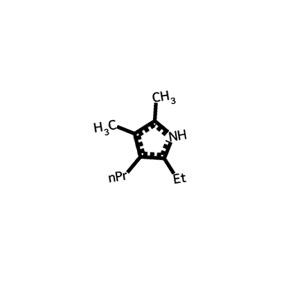 CCCc1c(CC)[nH]c(C)c1C